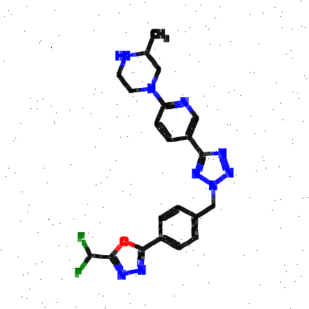 CC1CN(c2ccc(-c3nnn(Cc4ccc(-c5nnc(C(F)F)o5)cc4)n3)cn2)CCN1